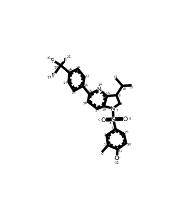 Cc1cc(S(=O)(=O)N2CC(C(C)C)c3nc(-c4ccc(C(F)(F)F)cc4)ccc32)ccc1[O]